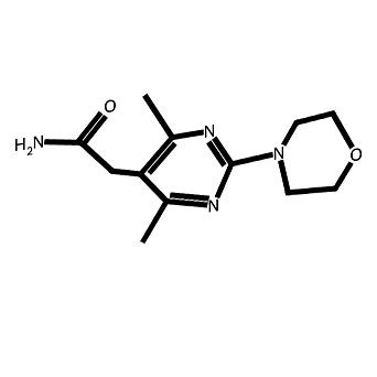 Cc1nc(N2CCOCC2)nc(C)c1CC(N)=O